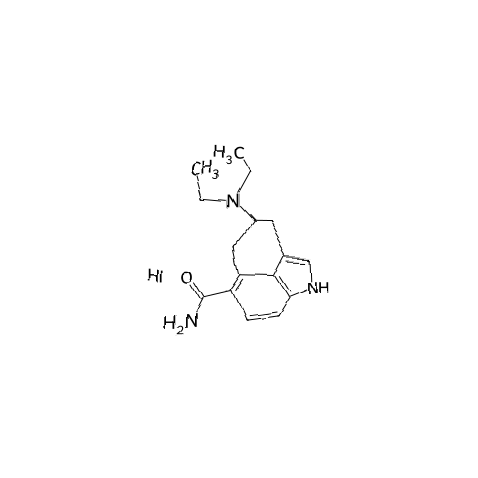 CCN(CC)C1Cc2c[nH]c3ccc(C(N)=O)c(c23)C1.I